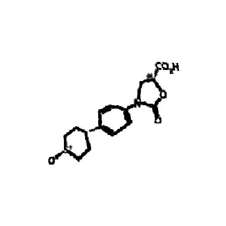 O=C(O)[C@H]1CN(c2ccc([C@H]3CC[S@+]([O-])CC3)cc2)C(=O)O1